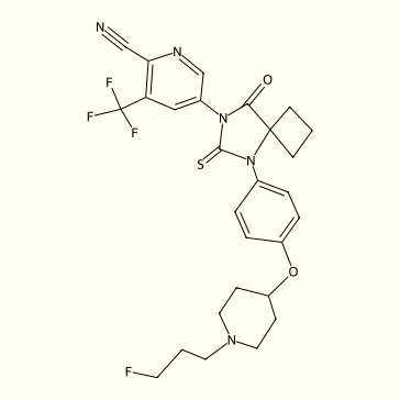 N#Cc1ncc(N2C(=O)C3(CCC3)N(c3ccc(OC4CCN(CCCF)CC4)cc3)C2=S)cc1C(F)(F)F